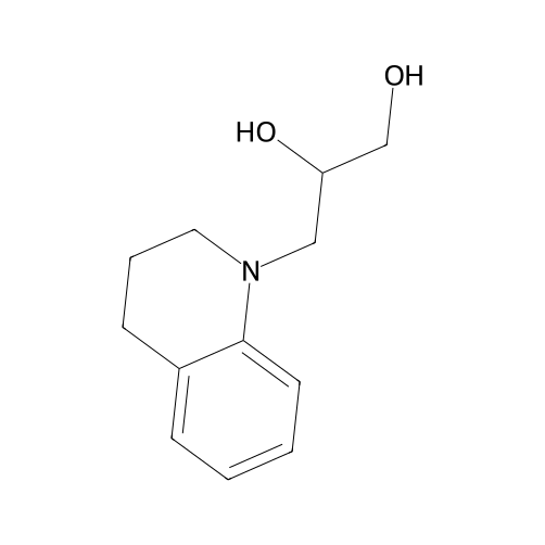 OCC(O)CN1CCCc2ccccc21